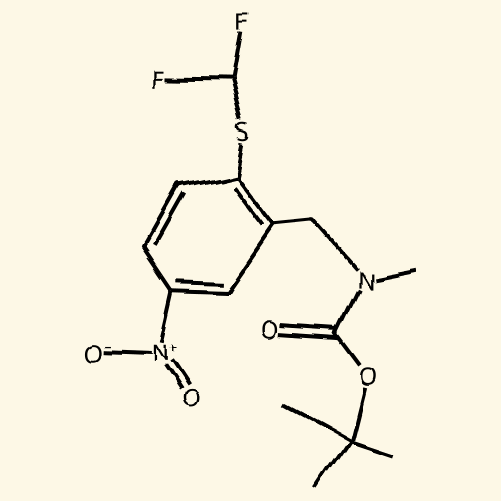 CN(Cc1cc([N+](=O)[O-])ccc1SC(F)F)C(=O)OC(C)(C)C